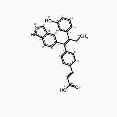 CCC(=C(c1ccc(C=CC(=O)O)cc1)c1ccc2[nH]ncc2c1)c1cccc(O)c1